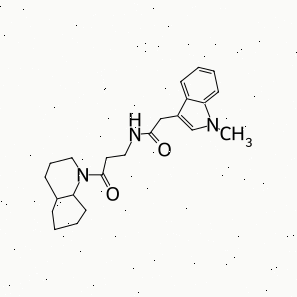 Cn1cc(CC(=O)NCCC(=O)N2CCCC3CCCCC32)c2ccccc21